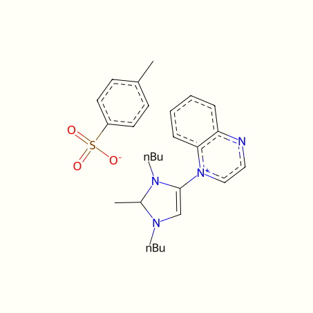 CCCCN1C=C([n+]2ccnc3ccccc32)N(CCCC)C1C.Cc1ccc(S(=O)(=O)[O-])cc1